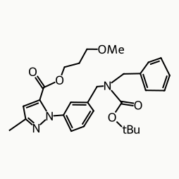 COCCCOC(=O)c1cc(C)nn1-c1cccc(CN(Cc2ccccc2)C(=O)OC(C)(C)C)c1